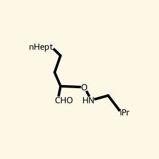 CCCCCCCCCC(C=O)ONCC(C)C